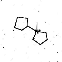 C[N+]1(C2CCCC2)CCCC1